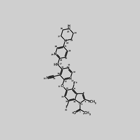 CC(=O)n1c(C)cc2c(F)c(Oc3ncnc(Nc4ccc(N5CCNCC5)cn4)c3C#N)cc(F)c21